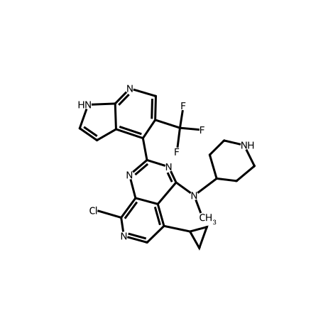 CN(c1nc(-c2c(C(F)(F)F)cnc3[nH]ccc23)nc2c(Cl)ncc(C3CC3)c12)C1CCNCC1